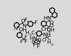 CC(=O)Nc1cc(NS(=O)(=O)C(F)(F)F)c(C)cc1C.O=C(Nc1ccc(F)cc1F)c1cccnc1Oc1cccc(C(F)(F)F)c1.O=C(O)c1ccccc1C(=O)Nc1cccc2ccccc12